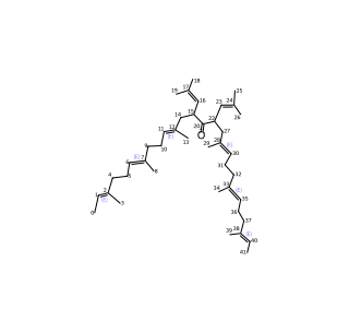 C/C=C(\C)CC/C=C(\C)CC/C=C(\C)CC(C=C(C)C)C(=O)C(C=C(C)C)C/C(C)=C/CC/C(C)=C/CC/C(C)=C/C